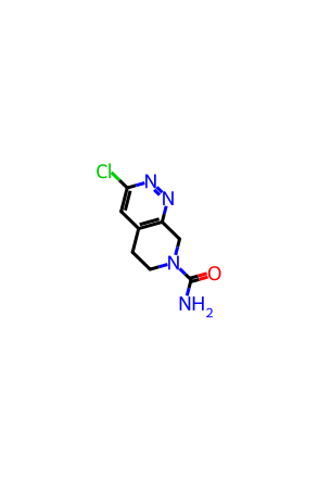 NC(=O)N1CCc2cc(Cl)nnc2C1